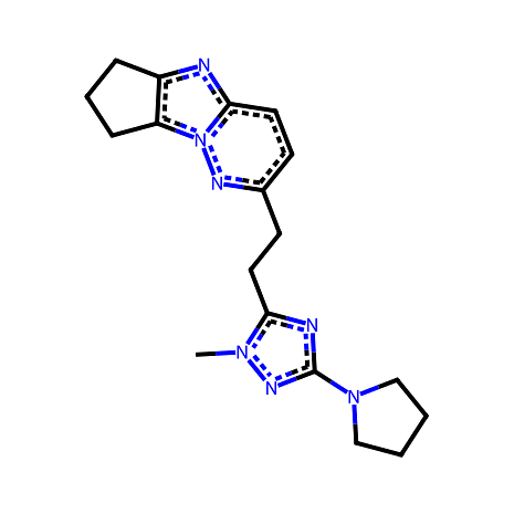 Cn1nc(N2CCCC2)nc1CCc1ccc2nc3c(n2n1)CCC3